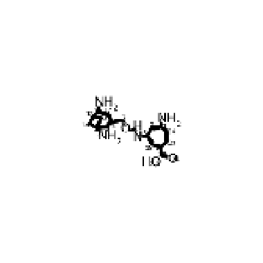 NC1=CC(NCOCC2=CC3(N)CC(C3)C(N)=C2)=CC(C(=O)O)C=C1